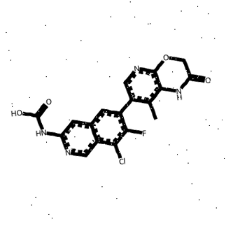 Cc1c(-c2cc3cc(NC(=O)O)ncc3c(Cl)c2F)cnc2c1NC(=O)CO2